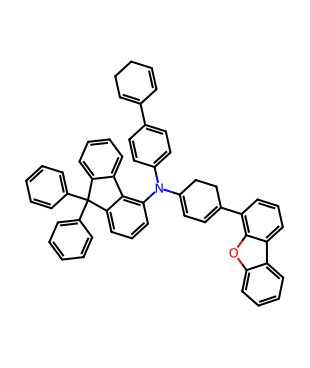 C1=CC(c2ccc(N(C3=CC=C(c4cccc5c4oc4ccccc45)CC3)c3cccc4c3-c3ccccc3C4(c3ccccc3)c3ccccc3)cc2)=CCC1